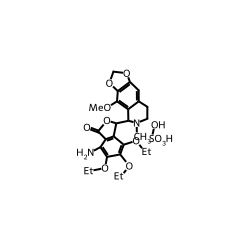 CCOc1c(N)c2c(c(OCC)c1OCC)C(C1c3c(cc4c(c3OC)OCO4)CCN1C)OC2=O.O=S(=O)(O)O